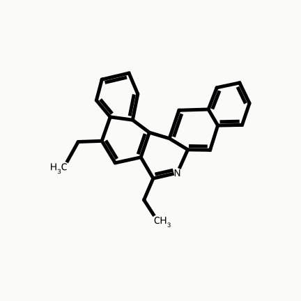 CCc1cc2c(CC)nc3cc4ccccc4cc3c2c2ccccc12